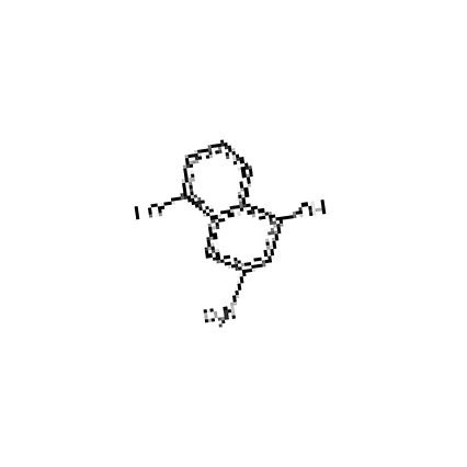 O=[N+]([O-])c1cc(O)c2cccc(O)c2c1